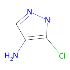 NC1=C(Cl)[N]N=C1